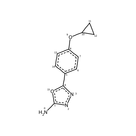 Nc1nnc(-c2ccc(OC3CC3)cc2)o1